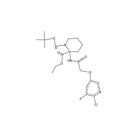 CCOC(=O)C1(NC(=O)COc2cnc(Cl)c(F)c2)CCCCN1C(=O)OC(C)(C)C